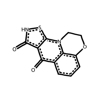 O=c1[nH]sc2c1c(=O)c1cccc3c1n2CCO3